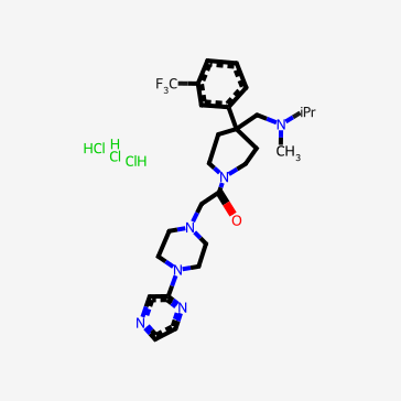 CC(C)N(C)CC1(c2cccc(C(F)(F)F)c2)CCN(C(=O)CN2CCN(c3cnccn3)CC2)CC1.Cl.Cl.Cl